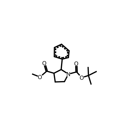 COC(=O)C1CCN(C(=O)OC(C)(C)C)C1c1ccccc1